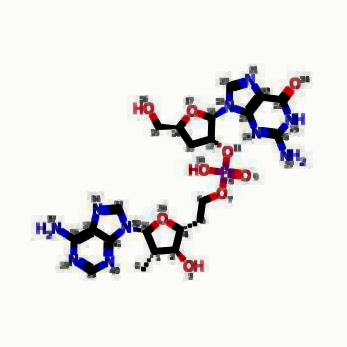 C[C@H]1[C@H](O)[C@@H](CCOP(=O)(O)O[C@@H]2C[C@@H](CO)O[C@H]2n2cnc3c(=O)[nH]c(N)nc32)O[C@H]1n1cnc2c(N)ncnc21